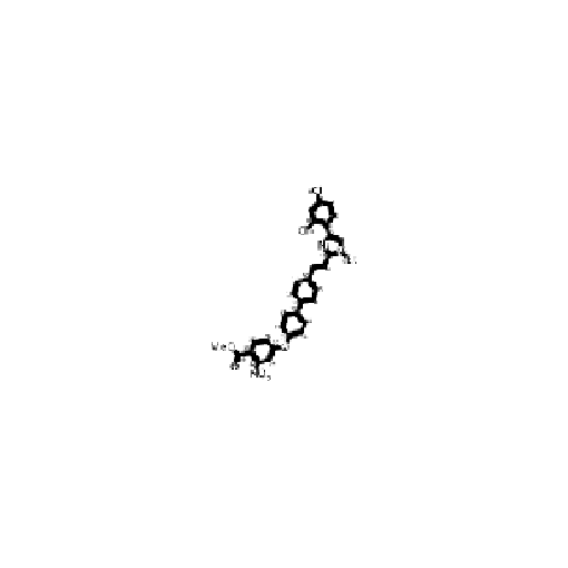 CCn1cc(-c2ccc(Cl)cc2Cl)nc1C=Cc1ccc(-c2ccc(Oc3ccc(C(=O)OC)c([N+](=O)[O-])c3)cc2)cc1